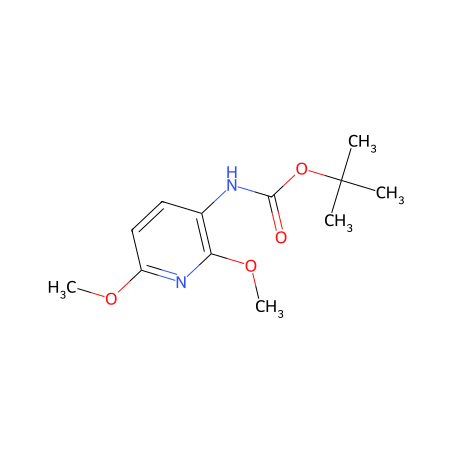 COc1ccc(NC(=O)OC(C)(C)C)c(OC)n1